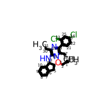 C#CCO[C@H]1Cc2ccccc2[C@H]1Nc1nc(CC)c(-c2ccc(Cl)cc2Cl)nc1CC